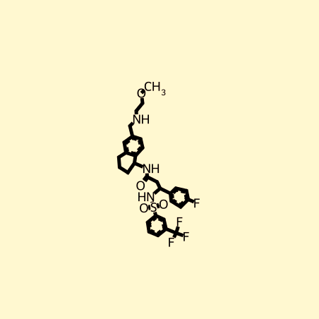 COCCNCc1ccc2c(c1)CCCC2NC(=O)CC(NS(=O)(=O)c1cccc(C(F)(F)F)c1)c1ccc(F)cc1